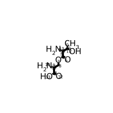 C[C@@H](O)[C@H](N)C(=O)OC[C@H](N)C(=O)O